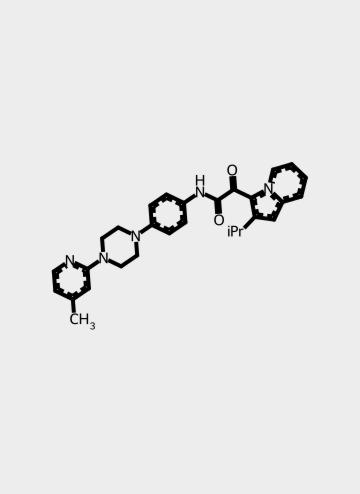 Cc1ccnc(N2CCN(c3ccc(NC(=O)C(=O)c4c(C(C)C)cc5ccccn45)cc3)CC2)c1